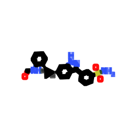 NS(=O)(=O)c1cccc(-c2n[nH]c3cc([C@@H]4C[C@@H]4c4ccccc4NC=O)ccc23)c1